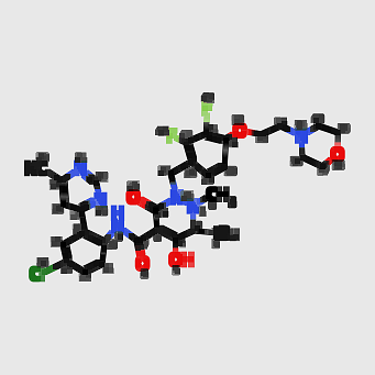 CN1C(C(C)(C)C)C(O)=C(C(=O)Nc2ccc(Cl)cc2-c2cc(C#N)ncn2)C(=O)N1Cc1ccc(OCCN2CCOCC2)c(F)c1F